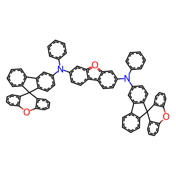 c1ccc(N(c2ccc3c(c2)-c2ccccc2C32c3ccccc3Oc3ccccc32)c2ccc3c(c2)oc2cc(N(c4ccccc4)c4ccc5c(c4)-c4ccccc4C54c5ccccc5Oc5ccccc54)ccc23)cc1